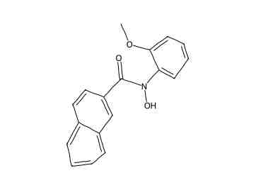 COc1ccccc1N(O)C(=O)c1ccc2ccccc2c1